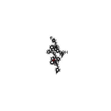 O=C(O)C(F)(F)F.O=S(=O)(CC=Cc1ccc(F)cc1)n1c(-c2ccccc2C(CCOCCC(c2ccccc2-c2cc3ccccc3n2S(=O)(=O)CC=Cc2ccc(F)cc2)N2CCCCC2)N2CCCCC2)cc2ccccc21